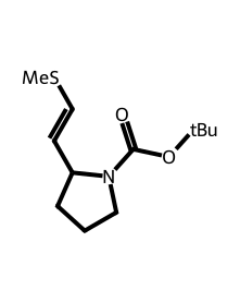 CS/C=C/C1CCCN1C(=O)OC(C)(C)C